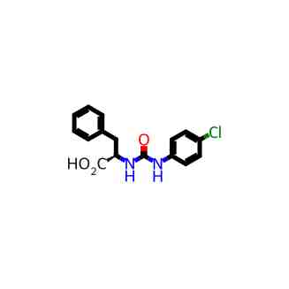 O=C(Nc1ccc(Cl)cc1)N[C@H](Cc1ccccc1)C(=O)O